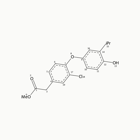 COC(=O)Cc1ccc(Oc2ccc(O)c(C(C)C)c2)c(Cl)c1